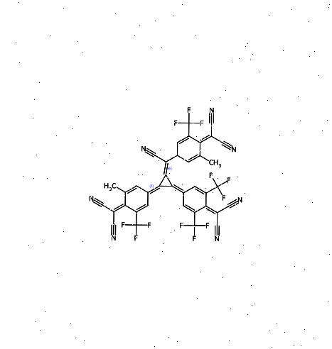 CC1=CC(/C(C#N)=C2\C(=c3cc(C(F)(F)F)c(=C(C#N)C#N)c(C(F)(F)F)c3)\C2=c2\cc(C)c(=C(C#N)C#N)c(C(F)(F)F)c2)C=C(C(F)(F)F)C1=C(C#N)C#N